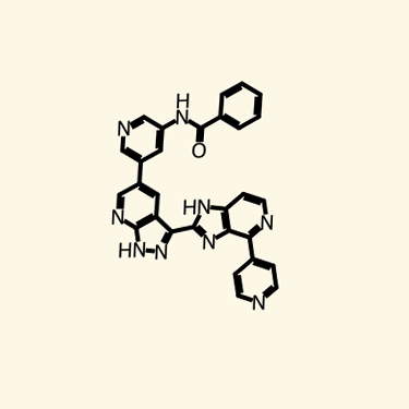 O=C(Nc1cncc(-c2cnc3[nH]nc(-c4nc5c(-c6ccncc6)nccc5[nH]4)c3c2)c1)c1ccccc1